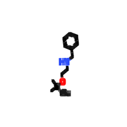 CC(C)(C)[Si](C)(C)OCCNCc1ccccc1